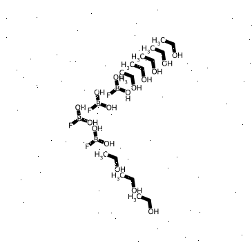 CCO.CCO.CCO.CCO.CCO.CCO.CCO.CCO.OB(O)F.OB(O)F.OB(O)F.OB(O)F